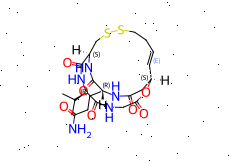 CC(C)[C@H]1NC(=O)[C@H]2CSSCC/C=C/[C@H](CC(=O)N[C@H](CCC(N)=O)C(=O)N2)OC(=O)CNC1=O